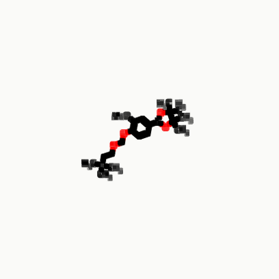 COc1cc(B2OC(C)(C)C(C)(C)O2)ccc1OCOCC[Si](C)(C)C